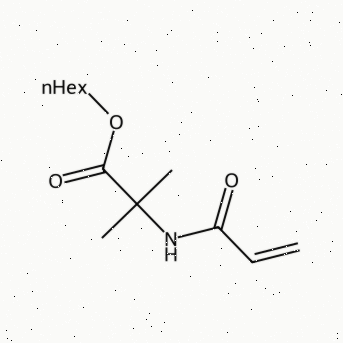 C=CC(=O)NC(C)(C)C(=O)OCCCCCC